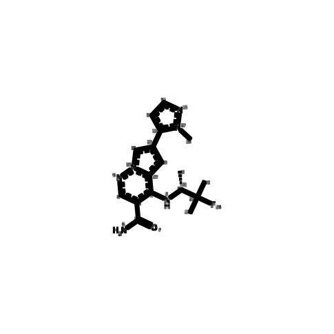 C[C@@H](Nc1c(C(N)=O)cnn2cc(-c3ccnn3C)cc12)C(C)(C)F